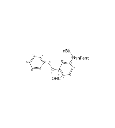 CCCCCN(CCCC)c1ccc(C=O)c(OCc2ccccc2)c1